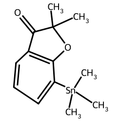 CC1(C)Oc2c(ccc[c]2[Sn]([CH3])([CH3])[CH3])C1=O